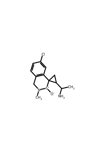 CC(N)C1CC12c1cc(Cl)ccc1CN(C)[S+]2[O-]